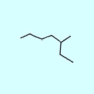 CC[C]CC(C)CC